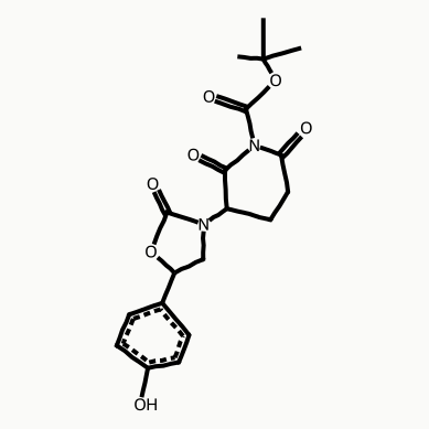 CC(C)(C)OC(=O)N1C(=O)CCC(N2CC(c3ccc(O)cc3)OC2=O)C1=O